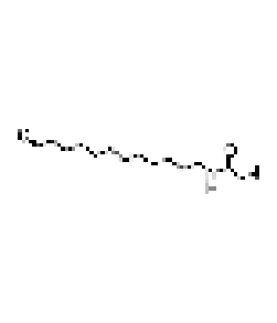 O=[C]CCCCCCCCCCCNC(=O)CI